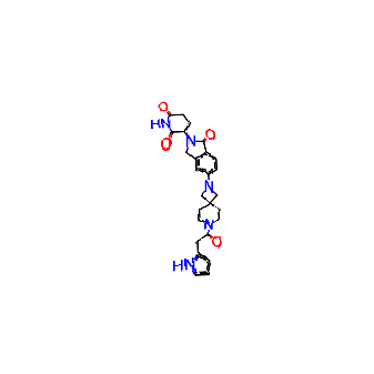 O=C1CCC(N2Cc3cc(N4CC5(CCN(C(=O)Cc6ccc[nH]6)CC5)C4)ccc3C2=O)C(=O)N1